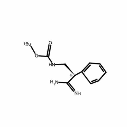 CC(C)(C)OC(=O)NC[C@H](C(=N)N)c1ccccc1